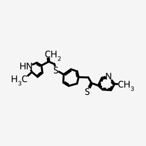 C=C(CSC1=CC=C(CC(=S)c2ccc(C)nc2)CC=C1)C1=CNC(C)C=C1